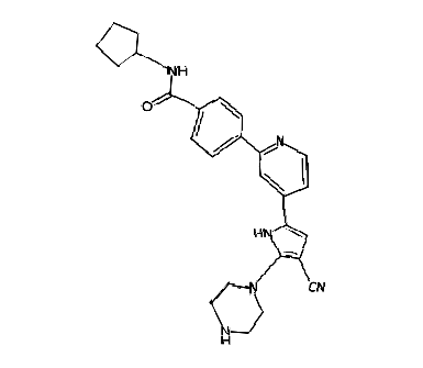 N#Cc1cc(-c2ccnc(-c3ccc(C(=O)NC4CCCC4)cc3)c2)[nH]c1N1CCNCC1